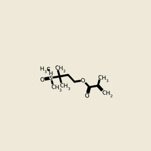 C=C(C)C(=O)OCCC(C)(C)[SH](C)(C)=O